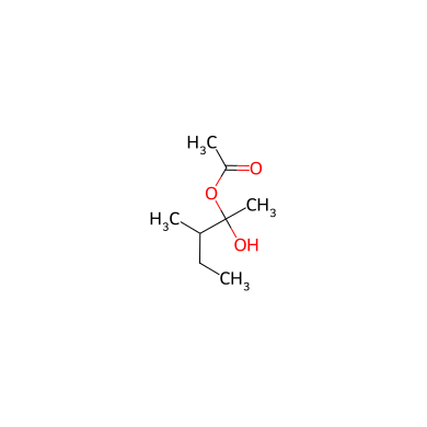 CCC(C)C(C)(O)OC(C)=O